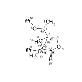 CC(C)O[C@@H]1[C@@H]2OC[C@@]1([C@@H](C)OC(C)C)O[C@H]2C